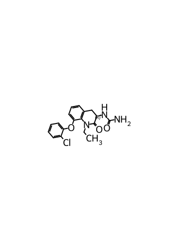 CCN1C(=O)[C@H](NC(N)=O)Cc2cccc(Oc3ccccc3Cl)c21